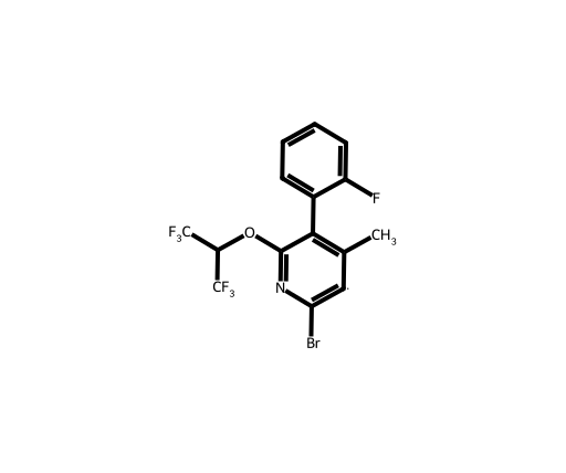 Cc1[c]c(Br)nc(OC(C(F)(F)F)C(F)(F)F)c1-c1ccccc1F